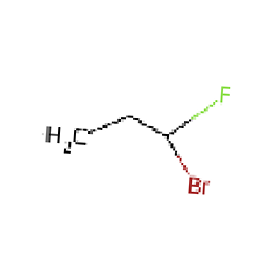 [CH2]CC(F)Br